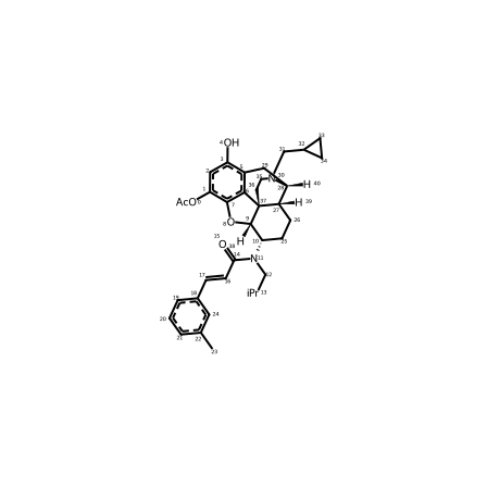 CC(=O)Oc1cc(O)c2c3c1O[C@H]1[C@@H](N(CC(C)C)C(=O)C=Cc4cccc(C)c4)CC[C@H]4[C@@H](C2)N(CC2CC2)CC[C@@]341